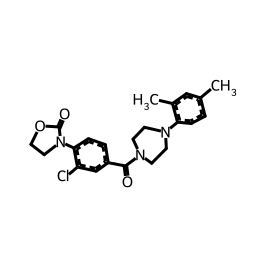 Cc1ccc(N2CCN(C(=O)c3ccc(N4CCOC4=O)c(Cl)c3)CC2)c(C)c1